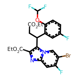 CCOC(=O)CC(c1cc(F)ccc1OC(F)F)c1c(C(=O)OCC)nc2cc(F)c(Br)cn12